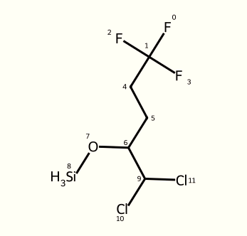 FC(F)(F)CCC(O[SiH3])C(Cl)Cl